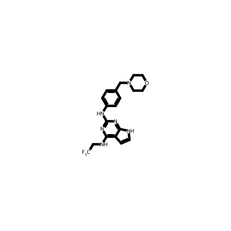 FC(F)(F)CNc1nc(Nc2ccc(CN3CCOCC3)cc2)nc2[nH]ccc12